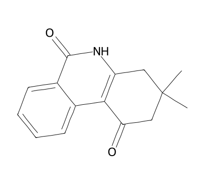 CC1(C)CC(=O)c2c([nH]c(=O)c3ccccc23)C1